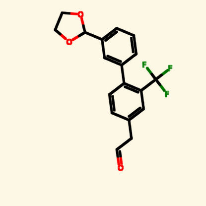 O=CCc1ccc(-c2cccc(C3OCCO3)c2)c(C(F)(F)F)c1